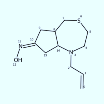 C=CCN1CCSCC2C/C(=N/O)CC21